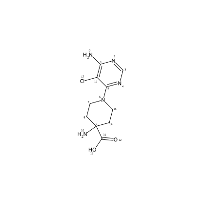 Nc1ncnc(N2CCC(N)(C(=O)O)CC2)c1Cl